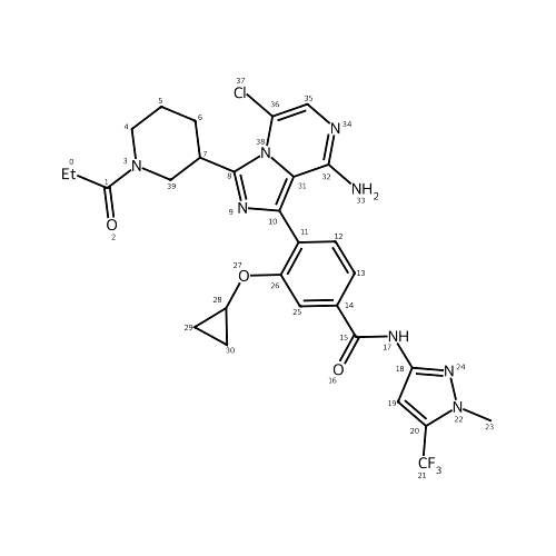 CCC(=O)N1CCCC(c2nc(-c3ccc(C(=O)Nc4cc(C(F)(F)F)n(C)n4)cc3OC3CC3)c3c(N)ncc(Cl)n23)C1